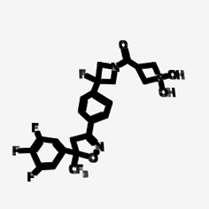 O=C(C1CS(O)(O)C1)N1CC(F)(c2ccc(C3=NOC(c4cc(F)c(F)c(F)c4)(C(F)(F)F)C3)cc2)C1